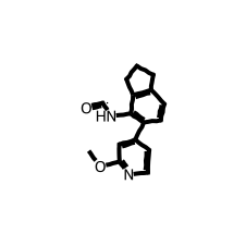 COc1cc(-c2ccc3c(c2N[C]=O)CCC3)ccn1